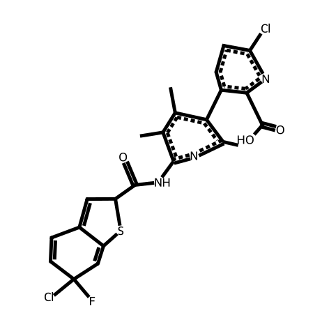 Cc1nc(NC(=O)C2C=C3C=CC(F)(Cl)C=C3S2)c(C)c(C)c1-c1ccc(Cl)nc1C(=O)O